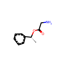 C[C@@H](OC(=O)CN)c1ccccc1